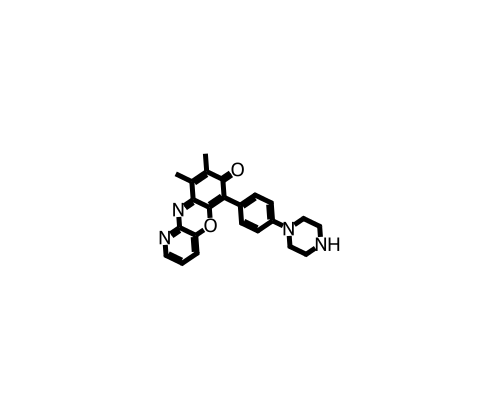 Cc1c2nc3ncccc3oc-2c(-c2ccc(N3CCNCC3)cc2)c(=O)c1C